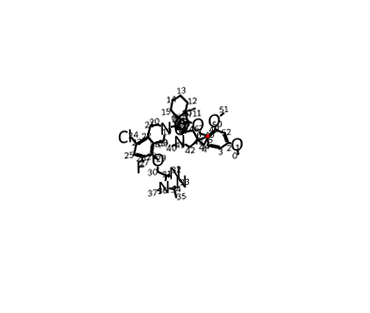 COc1ccc(COC(=O)[C@@]2(C)CCCC[C@H]2C(=O)N2CCc3c(Cl)cc(F)c(OCc4nnc(C)n4C)c3[C@H]2CN2CC3(CC3)CC2=O)c(OC)c1